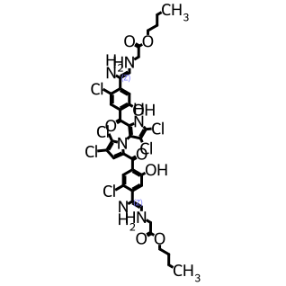 CCCCOC(=O)CN/C=C(\N)c1cc(O)c(C(=O)c2[nH]c(Cl)c(Cl)c2-n2c(C(=O)c3cc(Cl)c(/C(N)=C/NCC(=O)OCCCC)cc3O)cc(Cl)c2Cl)cc1Cl